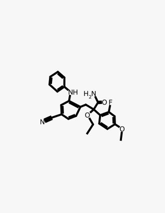 CCOC(Cc1ccc(C#N)cc1Nc1ccccc1)(C(N)=O)c1ccc(OC)cc1F